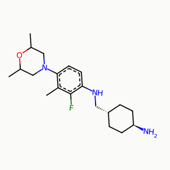 Cc1c(N2CC(C)OC(C)C2)ccc(NC[C@H]2CC[C@H](N)CC2)c1F